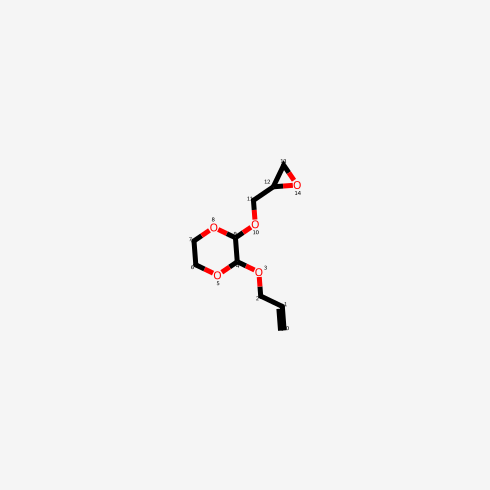 C=CCOC1OCCOC1OCC1CO1